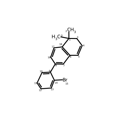 CC1(C)CC=Cc2cc(-c3ccccc3Br)ccc21